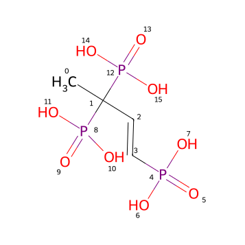 CC(/C=C/P(=O)(O)O)(P(=O)(O)O)P(=O)(O)O